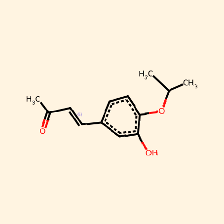 CC(=O)/C=C/c1ccc(OC(C)C)c(O)c1